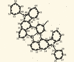 Cc1cc2c3c(c1)-c1c4c(cccc4cc4c1c1ccccc1n4-c1ccccc1)B3c1cccc3cc4c(c-2c13)c1ccccc1n4-c1ccccc1